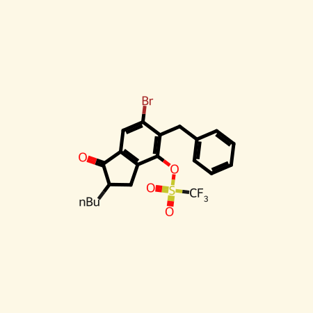 CCCCC1Cc2c(cc(Br)c(Cc3ccccc3)c2OS(=O)(=O)C(F)(F)F)C1=O